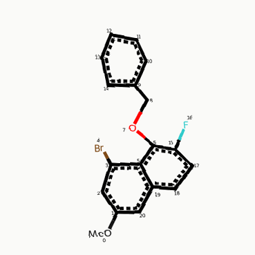 COc1cc(Br)c2c(OCc3ccccc3)c(F)ccc2c1